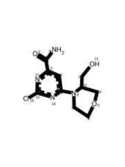 NC(=O)c1cc(N2CCOCC2CO)nc(Cl)n1